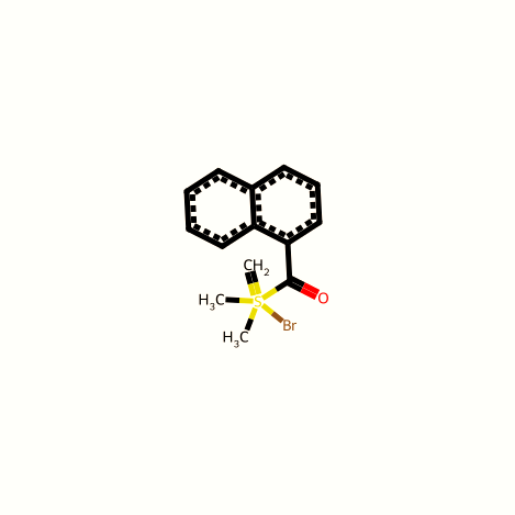 C=S(C)(C)(Br)C(=O)c1cccc2ccccc12